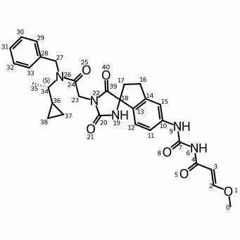 COC=CC(=O)NC(=O)Nc1ccc2c(c1)CCC21NC(=O)N(CC(=O)N(Cc2ccccc2)[C@@H](C)C2CC2)C1=O